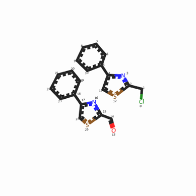 ClCc1nc(-c2ccccc2)cs1.O=Cc1nc(-c2ccccc2)cs1